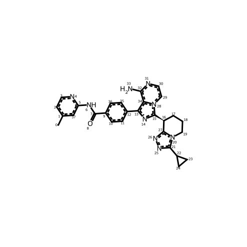 Cc1ccnc(NC(=O)c2ccc(-c3nc([C@H]4CCCn5c(C6CC6)nnc54)n4ccnc(N)c34)cc2)c1